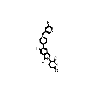 O=C1CCC(N2Cc3cc(C4CCN(Cc5cncc(F)c5)CC4)c(F)cc3C2=O)C(=O)N1